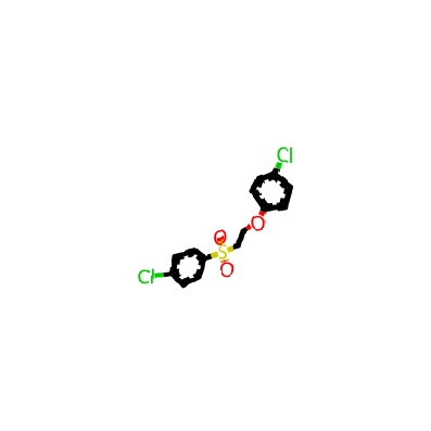 O=S(=O)(CCOc1ccc(Cl)cc1)c1ccc(Cl)cc1